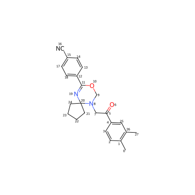 Cc1ccc(C(=O)CN2COC(c3ccc(C#N)cc3)=NC23CCCC3)cc1C